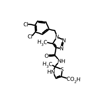 Cc1c(C(=O)NC2(C)NC=C(C(=O)O)S2)nnn1Cc1ccc(Cl)c(Cl)c1